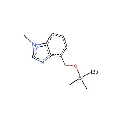 Cn1cnc2c(CO[Si](C)(C)C(C)(C)C)cccc21